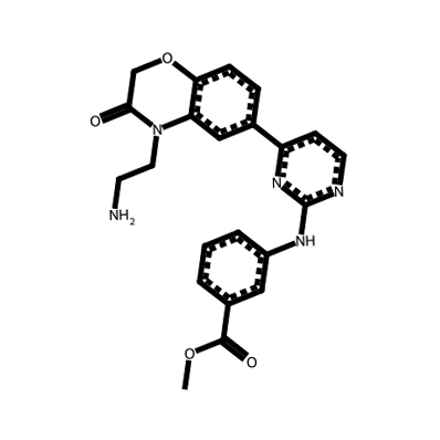 COC(=O)c1cccc(Nc2nccc(-c3ccc4c(c3)N(CCN)C(=O)CO4)n2)c1